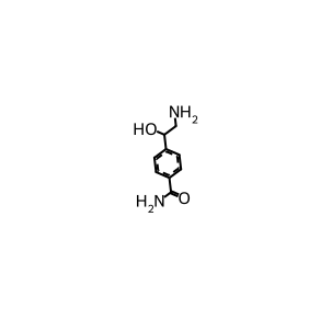 NCC(O)c1ccc(C(N)=O)cc1